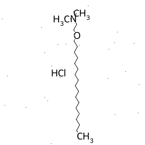 CCCCCCCCCCCCCCCCCCOCCN(C)C.Cl